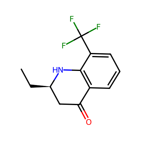 CC[C@@H]1CC(=O)c2cccc(C(F)(F)F)c2N1